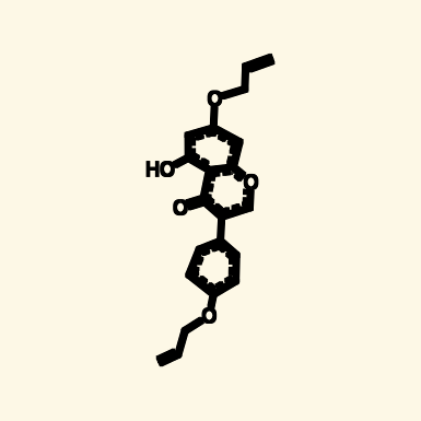 C=CCOc1ccc(-c2coc3cc(OCC=C)cc(O)c3c2=O)cc1